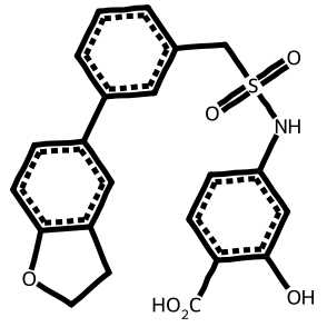 O=C(O)c1ccc(NS(=O)(=O)Cc2cccc(-c3ccc4c(c3)CCO4)c2)cc1O